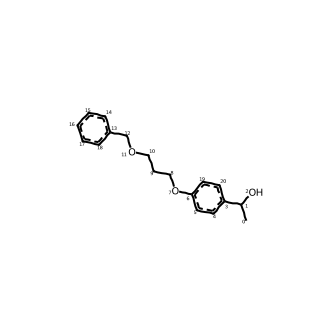 CC(O)c1ccc(OCCCOCc2ccccc2)cc1